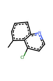 Cc1cccc2nccc(Cl)c12